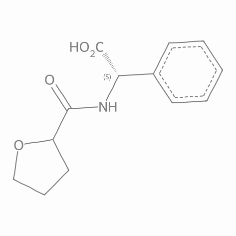 O=C(N[C@H](C(=O)O)c1ccccc1)C1CCCO1